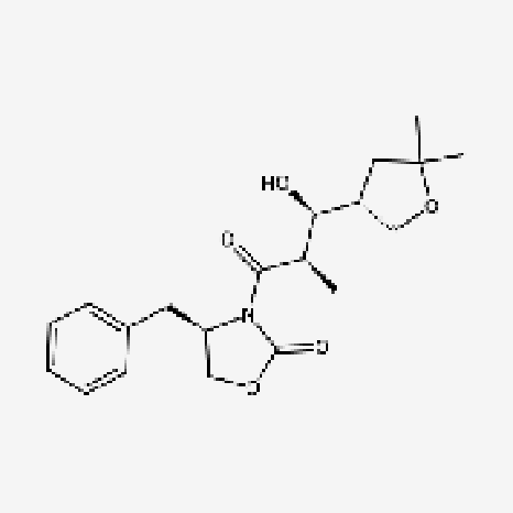 C[C@@H](C(=O)N1C(=O)OC[C@H]1Cc1ccccc1)[C@@H](O)[C@H]1COC(C)(C)C1